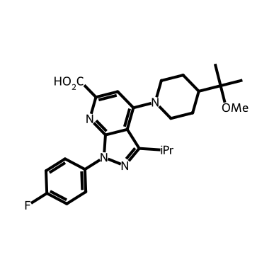 COC(C)(C)C1CCN(c2cc(C(=O)O)nc3c2c(C(C)C)nn3-c2ccc(F)cc2)CC1